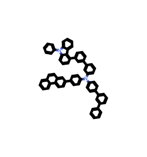 c1ccc(-c2cccc(-c3ccc(N(c4ccc(-c5ccc6c(ccc7ccccc76)c5)cc4)c4cccc(-c5cccc(-c6cccc7c6c6ccccc6n7-c6ccccc6)c5)c4)cc3)c2)cc1